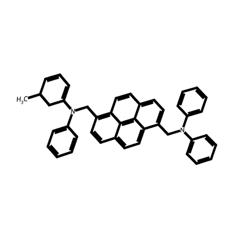 CC1C=CC=C(N(Cc2ccc3ccc4c(CN(c5ccccc5)c5ccccc5)ccc5ccc2c3c54)c2ccccc2)C1